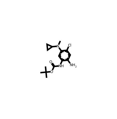 CN(c1cc(NC(=O)OC(C)(C)C)c(N)cc1Cl)C1CC1